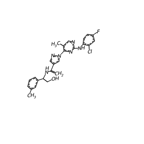 C=C(NC(CO)c1cccc(C)c1)c1cnn(-c2nc(Nc3ccc(F)cc3Cl)ncc2C)c1